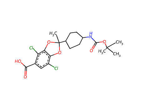 CC(C)(C)OC(=O)NC1CCC(C2(C)Oc3c(Cl)cc(C(=O)O)c(Cl)c3O2)CC1